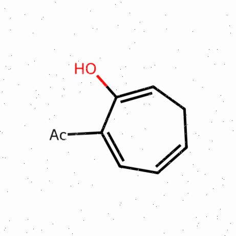 CC(=O)C1=CC=CCC=C1O